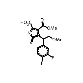 COCC(c1ccc(F)c(F)c1)n1c(C(=O)OC)c(C(=O)O)[nH]c1=S